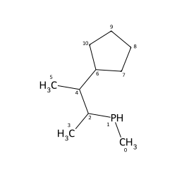 CPC(C)C(C)C1CCCC1